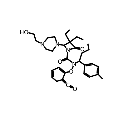 CCCC(c1ccc(C)cc1)N(OC1=CC=CCC1=C=O)C(=O)N1C(=O)C(CC)(CC)C1N1CCN(CCO)CC1